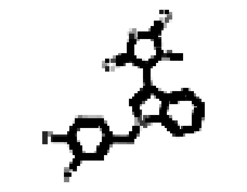 CN1C(=O)SC(=O)C1c1cn(Cc2ccc(F)c(F)c2)c2ccccc12